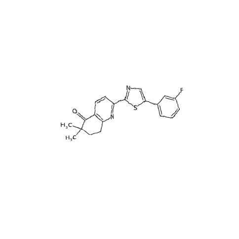 CC1(C)CCc2nc(-c3ncc(-c4cccc(F)c4)s3)ccc2C1=O